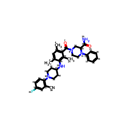 Cc1cc(C)c(C(=O)N2CCN(c3ccccc3)C(C(N)=O)C2)c(C)c1NC1CCN(c2ccc(F)cc2C#N)CC1